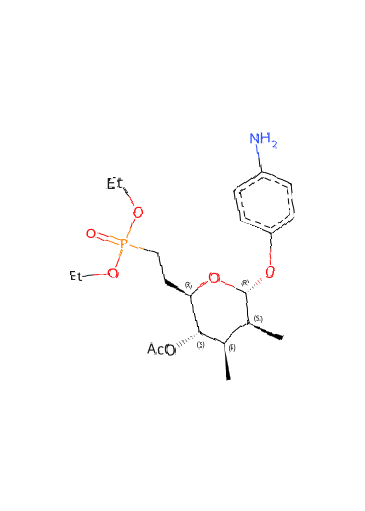 CCOP(=O)(CC[C@H]1O[C@H](Oc2ccc(N)cc2)[C@@H](C)[C@@H](C)[C@@H]1OC(C)=O)OCC